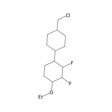 CCOC1CCC(C2CCC(CCl)CC2)C(F)C1F